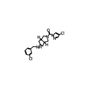 O=C(N1C[C@H]2C[C@H](NCc3cccc(Cl)c3)C[C@H]2C1)n1cc(Cl)cn1